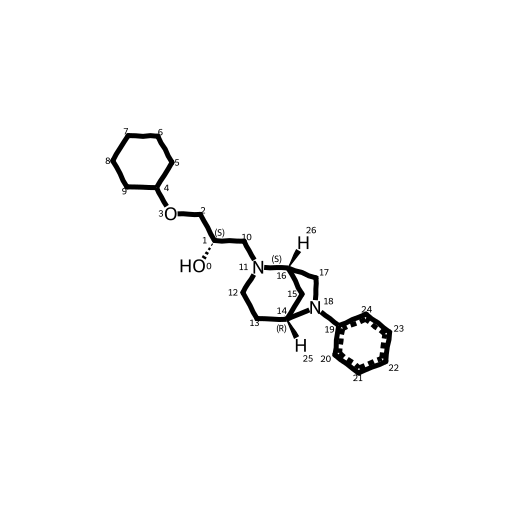 O[C@H](COC1CCCCC1)CN1CC[C@@H]2C[C@H]1CN2c1ccccc1